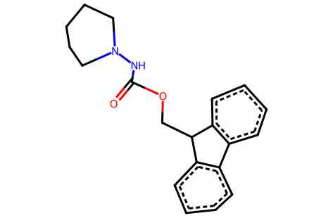 O=C(NN1CCCCC1)OCC1c2ccccc2-c2ccccc21